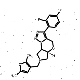 Cc1cc(CN2CC3[C@H](C2)OCc2c(-c4ccc(F)cc4F)nnn23)c(C)o1